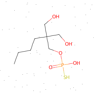 CCCCC(CO)(CO)COP(=O)(O)S